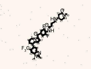 Cc1nc2cc(-c3cccn4c(C(=O)c5cc(F)c(NC(=O)/C=C/CNC6CCN(C)C(=O)C6)c(F)c5)ccc34)c(C(F)(F)F)cc2n1C